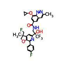 Cc1cc2cc(C(=O)NC[C@](O)(c3cc4c(c(-c5ccc(F)cc5)n3)OC[C@@]4(C)CF)C(F)(F)F)cc(OC3CC3)c2nn1